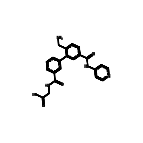 NCc1ccc(C(=O)Nc2ccncc2)cc1-c1cccc(C(=O)NCC(=O)S)c1